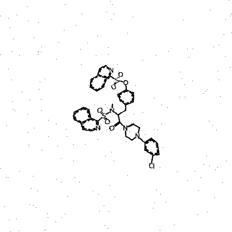 CN(C(Cc1ccc(OS(=O)(=O)c2nccc3ccccc23)cc1)C(=O)N1CCN(c2cccc(Cl)c2)CC1)S(=O)(=O)c1nccc2ccccc12